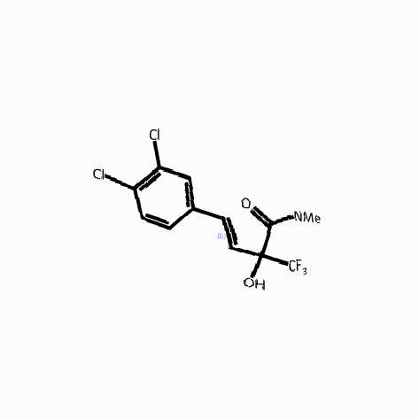 CNC(=O)C(O)(/C=C/c1ccc(Cl)c(Cl)c1)C(F)(F)F